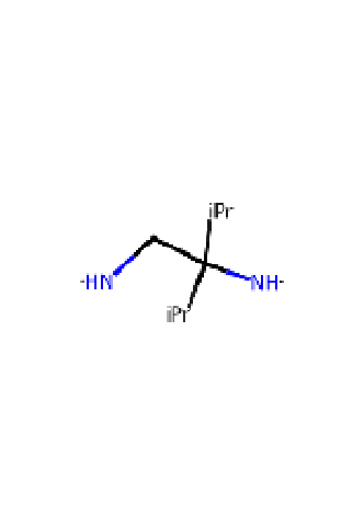 CC(C)C([NH])(C[NH])C(C)C